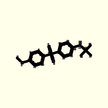 COc1ccc(S(=O)(=O)c2ccc(NC(C)(C)C)cc2)cc1